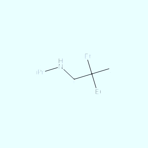 CCC(C)(CC)CNC(C)C